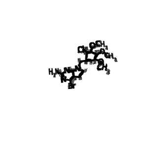 COc1cc(Cn2ccc3c(Br)nc(N)nc32)c(Cl)c(OC)c1OC